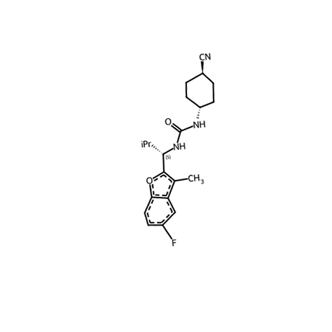 Cc1c([C@@H](NC(=O)N[C@H]2CC[C@H](C#N)CC2)C(C)C)oc2ccc(F)cc12